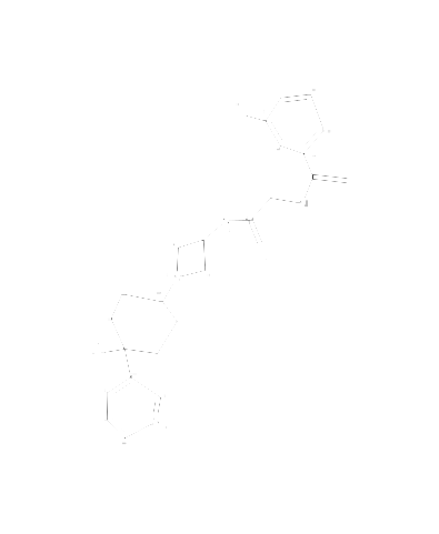 C=C(NCC(=O)NC1CN(C2CCC(O)(c3cccnc3)CC2)C1)c1cccc(C(F)(F)F)c1